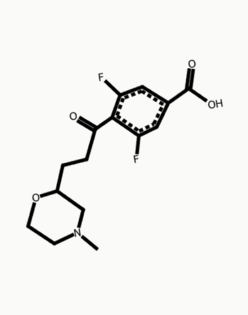 CN1CCOC(CCC(=O)c2c(F)cc(C(=O)O)cc2F)C1